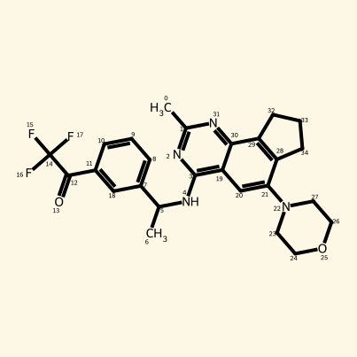 Cc1nc(NC(C)c2cccc(C(=O)C(F)(F)F)c2)c2cc(N3CCOCC3)c3c(c2n1)CCC3